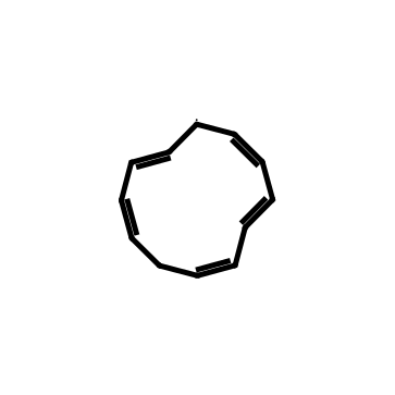 [CH]1\C=C/C=C/C=C\C/C=C\C=C\1